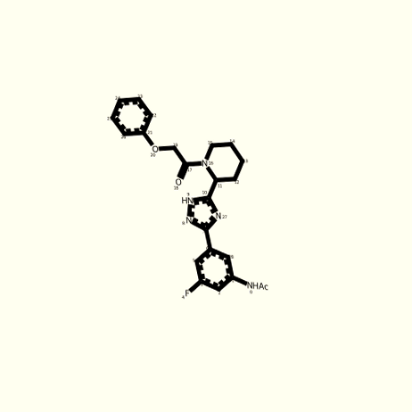 CC(=O)Nc1cc(F)cc(-c2n[nH]c(C3CCCCN3C(=O)COc3ccccc3)n2)c1